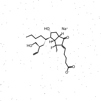 C=C[C@@H](CO)C[C@H](CCCC)[C@@H]1[C@@H]2[C@H](C[C@H]1O)C(=O)C(=CCCCC(=O)[O-])C2(F)F.[Na+]